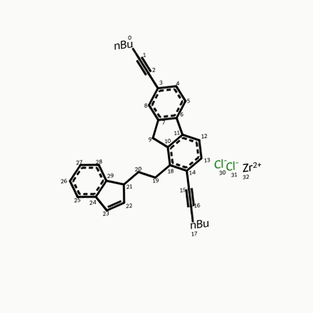 CCCCC#Cc1ccc2c(c1)Cc1c-2ccc(C#CCCCC)c1CCC1C=Cc2ccccc21.[Cl-].[Cl-].[Zr+2]